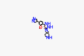 COc1cc(-c2cnn(C)c2)ccc1C(=N)SC(=N)N1CC2(CCNCC2)C1